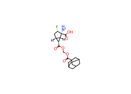 N[C@]1(C(=O)O)[C@H]2[C@@H](C[C@@H]1F)[C@@H]2C(=O)OCOC(=O)C12CC3CC(CC(C3)C1)C2